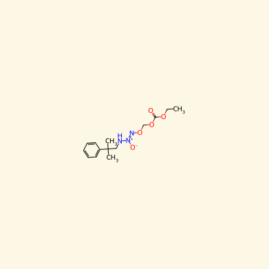 CCOC(=O)OCON=[N+]([O-])NCC(C)(C)c1ccccc1